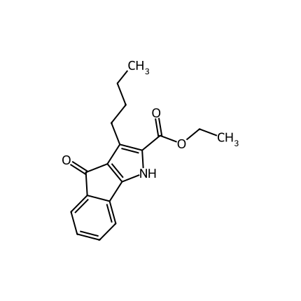 CCCCc1c(C(=O)OCC)[nH]c2c1C(=O)c1ccccc1-2